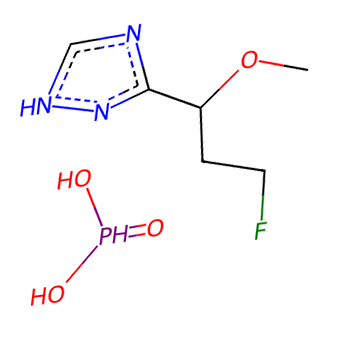 COC(CCF)c1nc[nH]n1.O=[PH](O)O